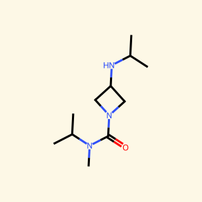 CC(C)NC1CN(C(=O)N(C)C(C)C)C1